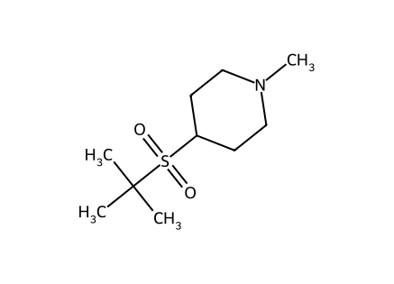 CN1CCC(S(=O)(=O)C(C)(C)C)CC1